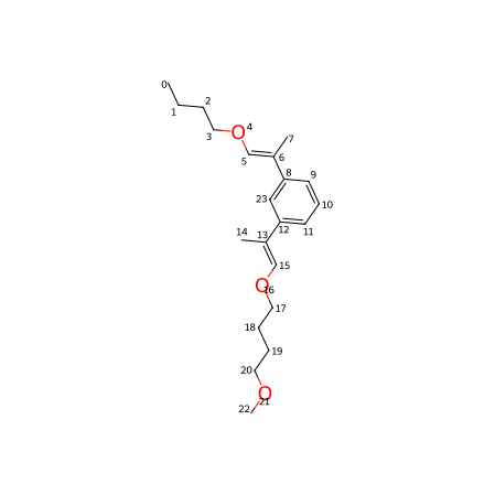 CCCCOC=C(C)c1cccc(C(C)=COCCCCOC)c1